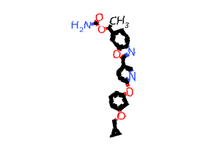 CC(OC(N)=O)c1ccc2nc(-c3ccc(Oc4cccc(OCC5CC5)c4)nc3)oc2c1